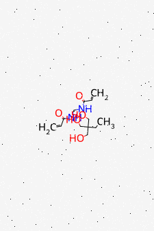 C=CC(=O)NCNC(=O)C=C.CCC(CO)(CO)CO